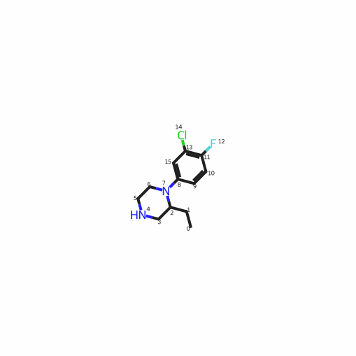 CCC1CNCCN1c1ccc(F)c(Cl)c1